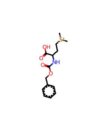 C[S+](C)CCC(NC(=O)OCc1ccccc1)C(=O)O